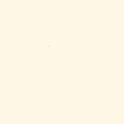 COC(=O)CCc1cccc(OCc2ccccc2-c2ccccc2)c1